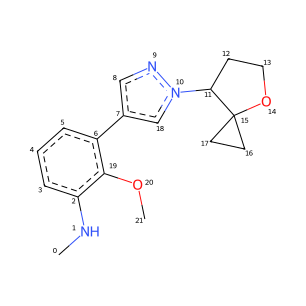 CNc1cccc(-c2cnn(C3CCOC34CC4)c2)c1OC